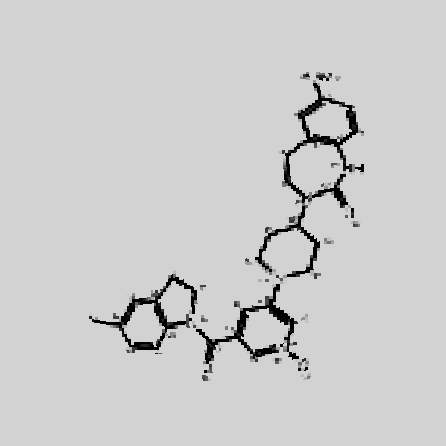 COc1ccc2c(c1)CCN(C1CCN(c3cc(C(=O)N4CCc5cc(C)ccc54)c[n+]([O-])c3)CC1)C(=O)N2